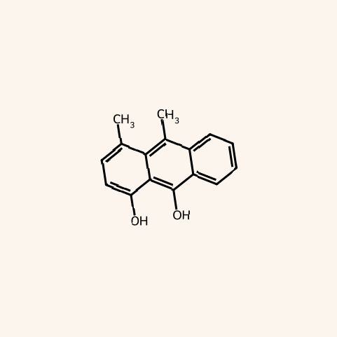 Cc1ccc(O)c2c(O)c3ccccc3c(C)c12